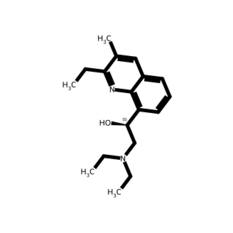 CCc1nc2c([C@H](O)CN(CC)CC)cccc2cc1C